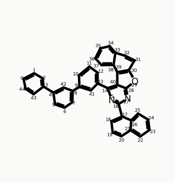 c1ccc(-c2cccc(-c3cccc(-c4nc(-c5cccc6ccccc56)nc5oc6ccc7ccccc7c6c45)c3)c2)cc1